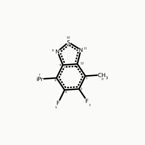 Cc1c(F)c(F)c(C(C)C)c2nsnc12